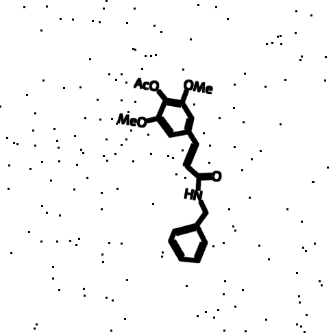 COc1cc(/C=C/C(=O)NCc2ccccc2)cc(OC)c1OC(C)=O